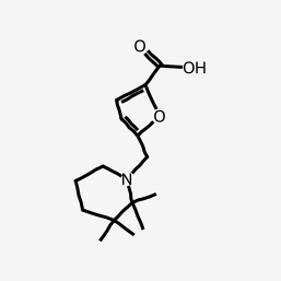 CC1(C)CCCN(Cc2ccc(C(=O)O)o2)C1(C)C